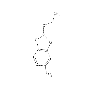 CCOP1Oc2ccc(C)cc2O1